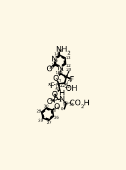 C[C@H](NP(=O)(OC[C@@]1(F)O[C@@H](n2ccc(N)nc2=O)[C@](C)(F)[C@@H]1O)Oc1ccccc1)C(=O)O